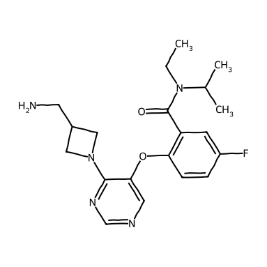 CCN(C(=O)c1cc(F)ccc1Oc1cncnc1N1CC(CN)C1)C(C)C